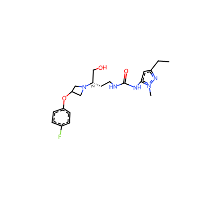 CCc1cc(NC(=O)NCC[C@@H](CO)N2CC(Oc3ccc(F)cc3)C2)n(C)n1